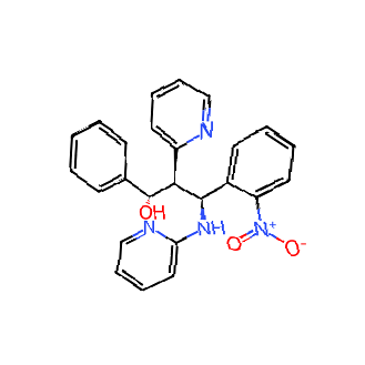 O=[N+]([O-])c1ccccc1[C@@H](Nc1ccccn1)[C@H](c1ccccn1)[C@H](O)c1ccccc1